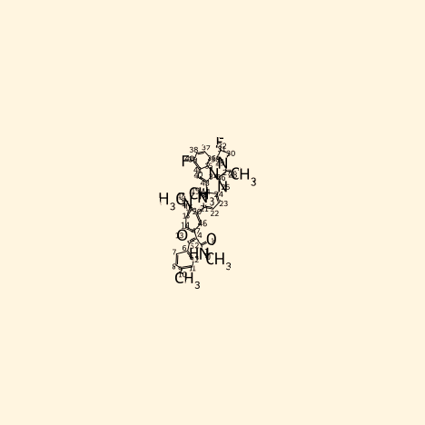 CNC(=O)c1c(-c2ccc(C)cc2)oc2cc(N(C)C)c(-c3ccc4nc(C(C)N5CC(F)C5)n5c6cccc(F)c6cc5c4n3)cc12